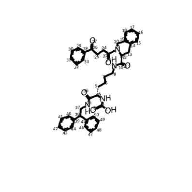 O=C(O)N[C@@H](CCCCNC(=O)[C@@H]1Cc2ccccc2CN1C(=O)CCC(=O)c1ccccc1)C(=O)NCC(c1ccccc1)c1ccccc1